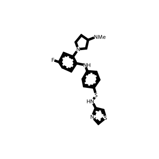 CNC1CCN(c2cc(F)ccc2Nc2ccc(SNc3cscn3)cc2)C1